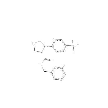 C[C@H](NC(=O)[C@@H]1CNC[C@H]1c1ccc(C(F)(F)F)cn1)c1cccc(Cl)c1